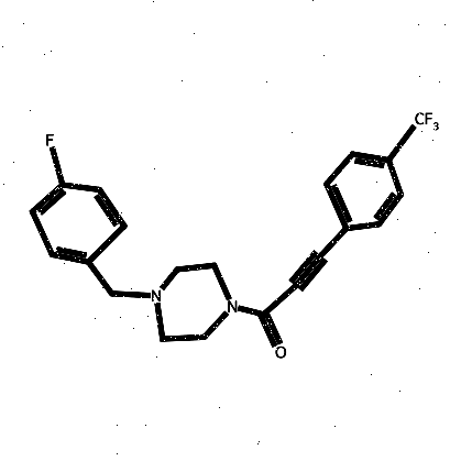 O=C(C#Cc1ccc(C(F)(F)F)cc1)N1CCN(Cc2ccc(F)cc2)CC1